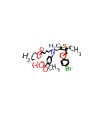 CCOC(=O)CCCCN(CCc1c(C)sc(C)c1COc1ccc(Br)cc1)Cc1ccc(C(=O)O)c(C)c1